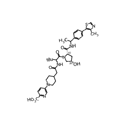 Cc1ncsc1-c1ccc(C(C)NC(=O)[C@@H]2C[C@@H](O)CN2C(=O)C(NC(=O)CC2CCN(c3ccc(C(=O)O)nc3)CC2)C(C)(C)C)cc1